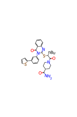 CCCCC(Sc1nc2ccccc2c(=O)n1-c1cccc(-c2cccs2)c1)C(=O)N1CCC(C(N)=O)CC1